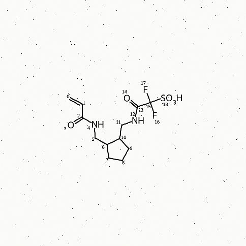 C=CC(=O)NCC1CCCC1CNC(=O)C(F)(F)S(=O)(=O)O